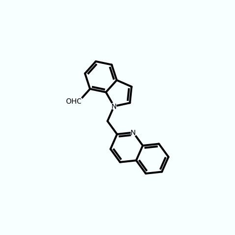 O=Cc1cccc2ccn(Cc3ccc4ccccc4n3)c12